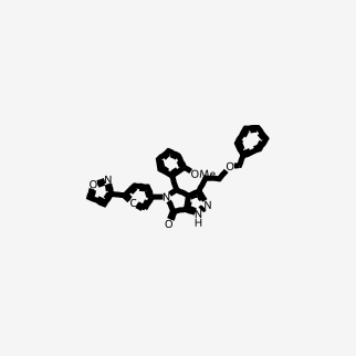 COc1ccccc1C1c2c(CCOCc3ccccc3)n[nH]c2C(=O)N1c1ccc(-c2ccon2)cc1